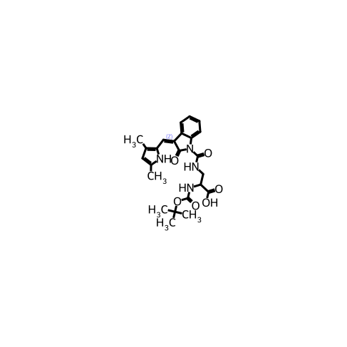 Cc1cc(C)c(/C=C2\C(=O)N(C(=O)NCC(NC(=O)OC(C)(C)C)C(=O)O)c3ccccc32)[nH]1